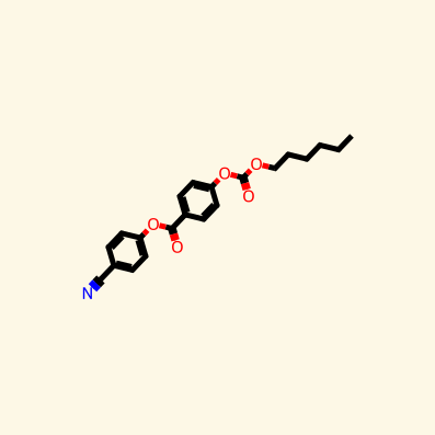 CCCCCCOC(=O)Oc1ccc(C(=O)Oc2ccc(C#N)cc2)cc1